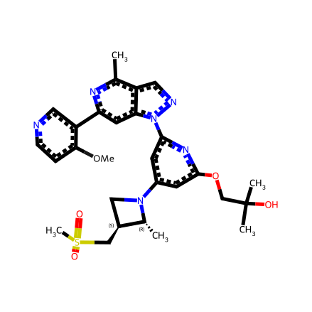 COc1ccncc1-c1cc2c(cnn2-c2cc(N3C[C@H](CS(C)(=O)=O)[C@H]3C)cc(OCC(C)(C)O)n2)c(C)n1